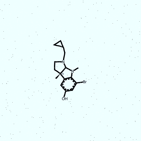 CN1c2c(Br)cc(O)cc2[C@]2(C)CCN(CC3CC3)C12